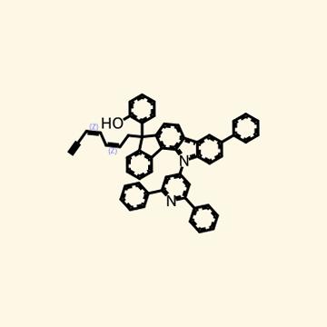 C#C/C=C\C=C/CC1(c2ccccc2O)c2ccccc2-c2c1ccc1c3cc(-c4ccccc4)ccc3n(-c3cc(-c4ccccc4)nc(-c4ccccc4)c3)c21